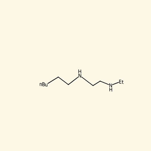 [CH2]CCCCCNCCNCC